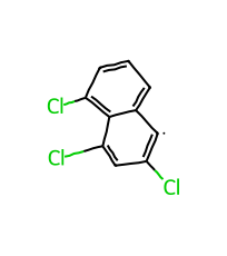 Clc1[c]c2cccc(Cl)c2c(Cl)c1